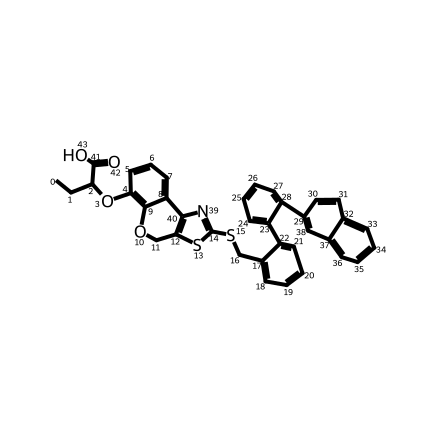 CCC(Oc1cccc2c1OCc1sc(SCc3ccccc3-c3ccccc3-c3ccc4ccccc4c3)nc1-2)C(=O)O